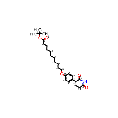 CC(C)(C)OC(=O)CCCCCCCCCCOc1ccc(C2CCC(=O)NC2=O)cc1